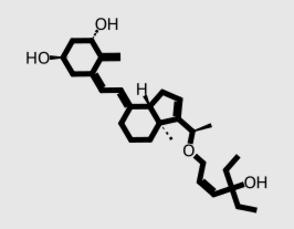 C=C1C(=CC=C2CCC[C@]3(C)C([C@@H](C)OC/C=C\C(O)(CC)CC)=CC[C@@H]23)C[C@@H](O)C[C@@H]1O